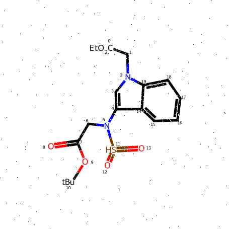 CCOC(=O)Cn1cc(N(CC(=O)OC(C)(C)C)[SH](=O)=O)c2ccccc21